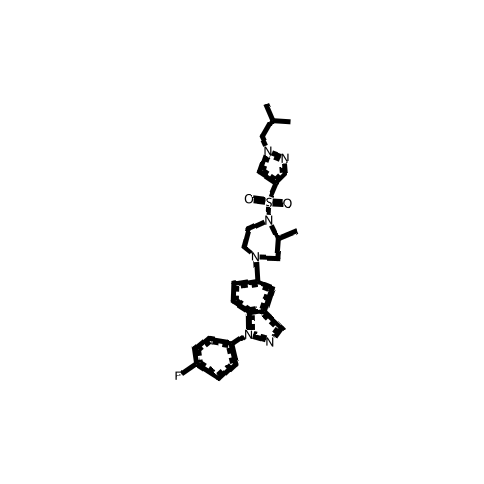 CC(C)Cn1cc(S(=O)(=O)N2CCN(c3ccc4c(cnn4-c4ccc(F)cc4)c3)CC2C)cn1